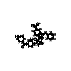 O=C(C1CCNCC1)N1CCN(CC(O)(c2cn(Cc3ccccc3)c3cc([N+](=O)[O-])ccc23)C(F)(F)F)CC1